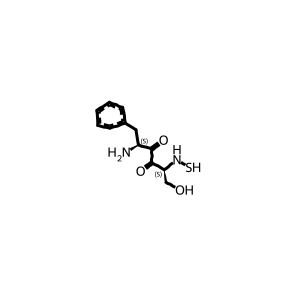 N[C@@H](Cc1ccccc1)C(=O)C(=O)[C@H](CO)NS